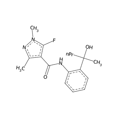 CCCC(C)(O)c1ccccc1NC(=O)c1c(C)nn(C)c1F